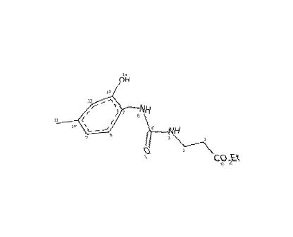 CCOC(=O)CCNC(=O)Nc1ccc(C)cc1O